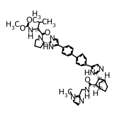 COC(=O)N[C@H](C(=O)N1CCC[C@H]1c1ncc(-c2ccc(-c3ccc(-c4cnc([C@@H]5[C@H]6CC[C@H](C6)[C@H]5C(=O)NCc5nccn5C)[nH]4)cc3)cc2)[nH]1)C(C)C